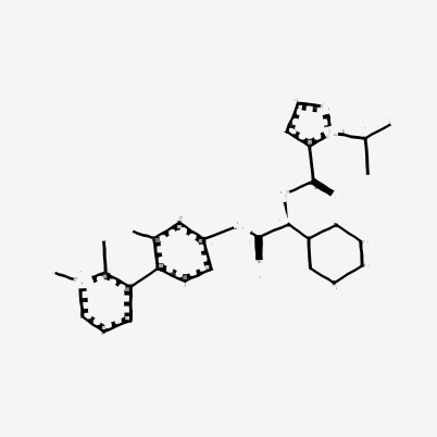 Cc1c(-c2ccc(NC(=O)[C@@H](NC(=O)c3ccnn3C(C)C)C3CCCCC3)cc2F)ccc[n+]1[O-]